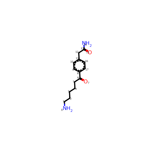 NCCCCCC(=O)c1ccc(CC(N)=O)cc1